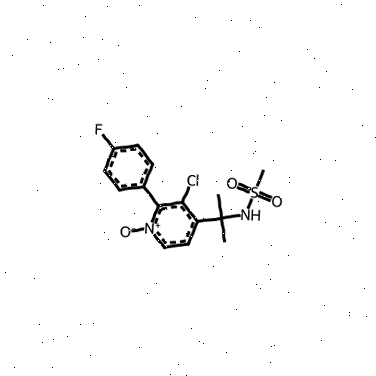 CC(C)(NS(C)(=O)=O)c1cc[n+]([O-])c(-c2ccc(F)cc2)c1Cl